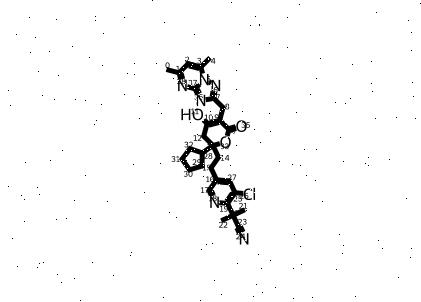 Cc1cc(C)n2nc(CC3=C(O)CC(CCc4cnc(C(C)(C)C#N)c(Cl)c4)(C4CCCC4)OC3=O)nc2n1